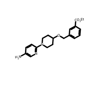 CCOC(=O)c1cccc(COC2CCN(c3ccc(N)cn3)CC2)c1